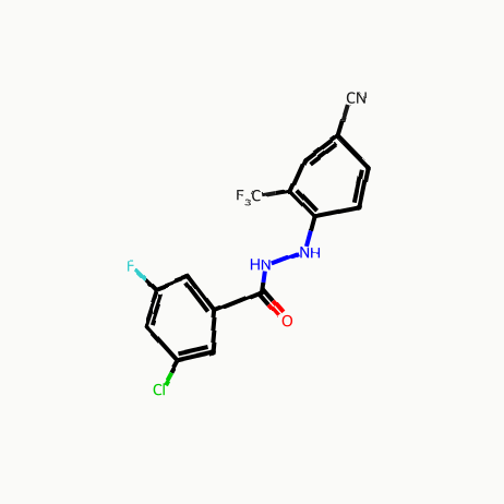 N#Cc1ccc(NNC(=O)c2cc(F)cc(Cl)c2)c(C(F)(F)F)c1